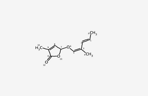 C/C=C/C(C)=C\OC1C=C(C)C(=O)O1